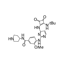 COc1cc(C(=O)NC2CCNCC2)ccc1Nc1nccc(Nc2c(NC(C)(C)C)c(=O)c2=O)n1